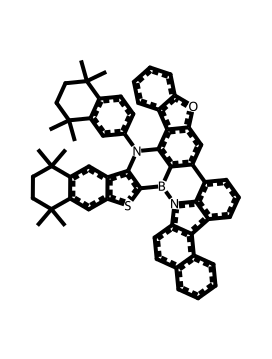 CC1(C)CCC(C)(C)c2cc(N3c4c(sc5cc6c(cc45)C(C)(C)CCC6(C)C)B4c5c(cc6oc7ccccc7c6c53)-c3cccc5c6c7ccccc7ccc6n4c35)ccc21